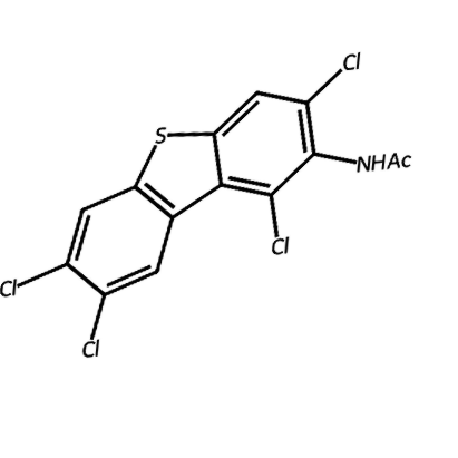 CC(=O)Nc1c(Cl)cc2sc3cc(Cl)c(Cl)cc3c2c1Cl